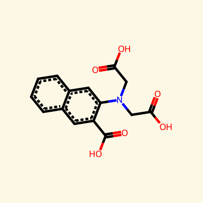 O=C(O)CN(CC(=O)O)c1cc2ccccc2cc1C(=O)O